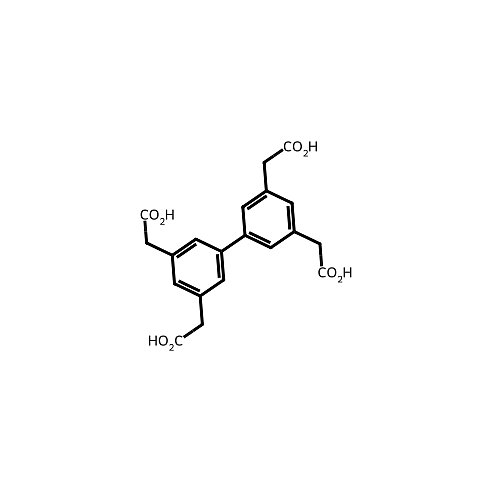 O=C(O)Cc1cc(CC(=O)O)cc(-c2cc(CC(=O)O)cc(CC(=O)O)c2)c1